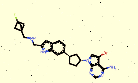 Nc1ncnc2c1c(Br)cn2[C@H]1CC[C@@H](c2ccc3cc(CNCC45CC(F)(C4)C5)[nH]c3c2)C1